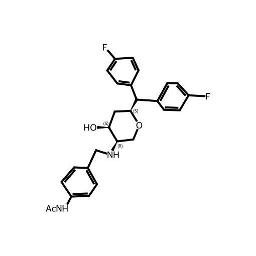 CC(=O)Nc1ccc(CN[C@@H]2CO[C@H](C(c3ccc(F)cc3)c3ccc(F)cc3)C[C@@H]2O)cc1